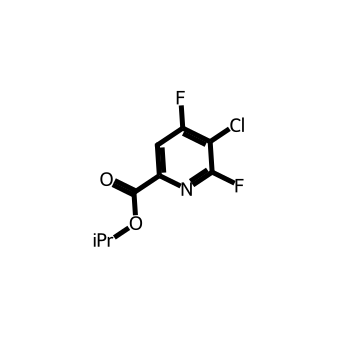 CC(C)OC(=O)c1cc(F)c(Cl)c(F)n1